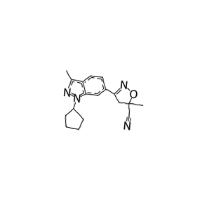 Cc1nn(C2CCCC2)c2cc(C3=NOC(C)(C#N)C3)ccc12